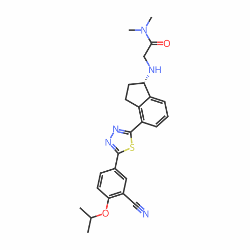 CC(C)Oc1ccc(-c2nnc(-c3cccc4c3CC[C@@H]4NCC(=O)N(C)C)s2)cc1C#N